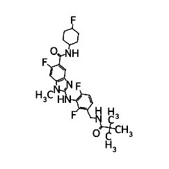 Cn1c(Nc2c(F)ccc(CNC(=O)C(C)(C)C)c2F)nc2cc(C(=O)NC3CCC(F)CC3)c(F)cc21